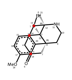 CCO[C@@]12CCC(=O)C[C@@]13CCN[C@@H]2Cc1ccc(OC)cc13